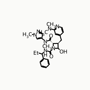 CCC(NC(=O)N1C(O)[C@H](Cc2ccnc(N(C)C)c2)[C@H]1C(=O)N(C)c1cnn(C)c1)c1ccccc1